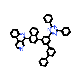 c1ccc(-c2cccc(-c3cc(-c4nc(-c5ccccc5)nc(-c5ccccc5)n4)cc(-c4ccc(-c5nc6ccccc6c6ccncc56)c5ccccc45)c3)c2)cc1